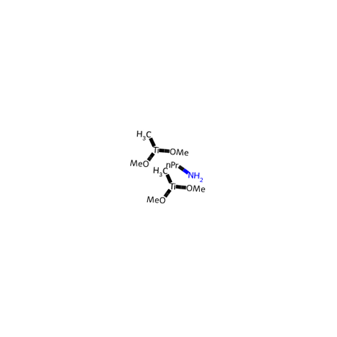 CCCN.C[O][Ti]([CH3])[O]C.C[O][Ti]([CH3])[O]C